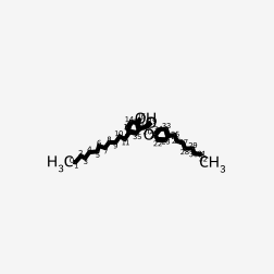 CCCCCCCCCCCCc1ccc(O)c(C(=O)Oc2ccc(CCCCCCCC)cc2)c1